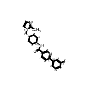 Cc1nccn1C[C@H]1CC[C@H](NC(=O)c2ccc(-c3cccc(F)c3)nc2)CC1